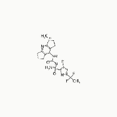 C[C@@H]1CCc2c1nc1c(c2NC(=O)N=[S@](N)(=O)c2nn(C(C)(F)F)cc2F)CCC1